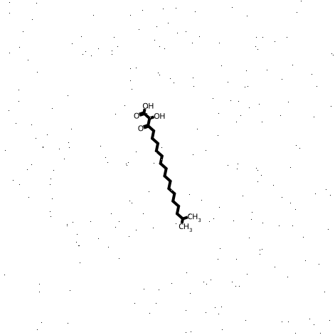 CC(C)CCCCCCCCCCCCCCC(=O)C(O)C(=O)O